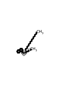 CCCCCCCCCCCCCCCCCOP(=O)(OCCOCC)Oc1cccc2ccccc12